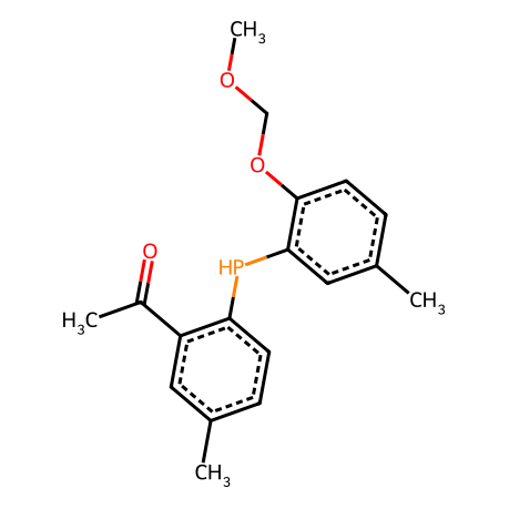 COCOc1ccc(C)cc1Pc1ccc(C)cc1C(C)=O